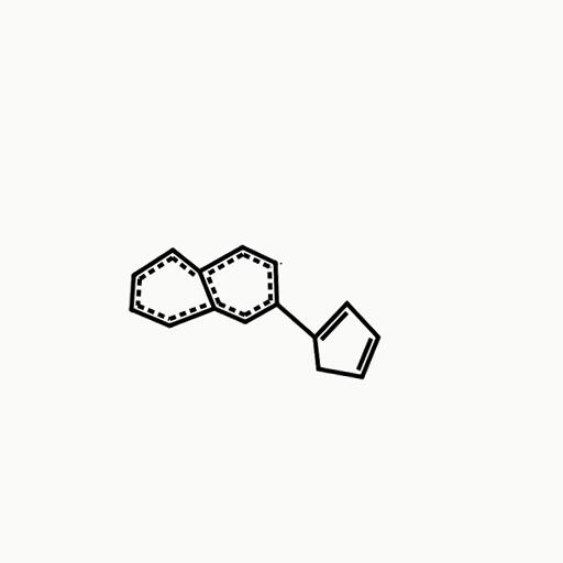 [c]1cc2ccccc2cc1C1=CC=CC1